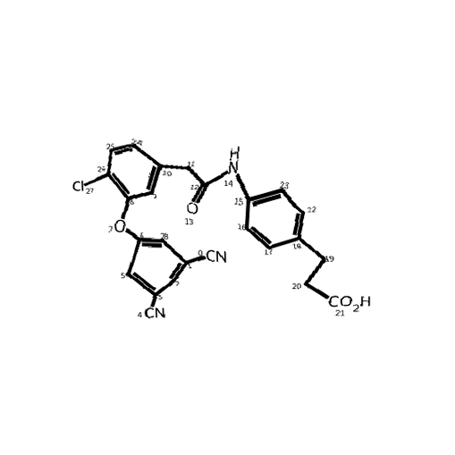 N#Cc1cc(C#N)cc(Oc2cc(CC(=O)Nc3ccc(CCC(=O)O)cc3)ccc2Cl)c1